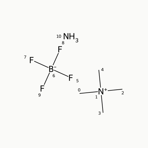 C[N+](C)(C)C.F[B-](F)(F)F.N